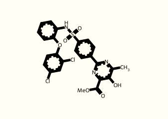 COC(=O)c1nc(-c2ccc(S(=O)(=O)Nc3ccccc3Oc3ccc(Cl)cc3Cl)cc2)nc(C)c1O